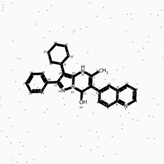 CC1=C(c2ccc3ncccc3c2)C(O)n2nc(-c3ccccc3)c(C3CCCCC3)c2N1